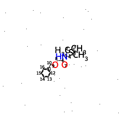 C[Si](C)(C)CNC(=O)COCc1ccccc1